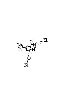 Cn1cnc(-c2cc(OCOCC[Si](C)(C)C)c3ncn(COCC[Si](C)(C)C)c(=O)c3c2)c1